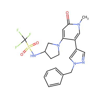 Cn1cc(-c2cnn(Cc3ccccc3)c2)c(N2CCC(NS(=O)(=O)C(F)(F)F)C2)cc1=O